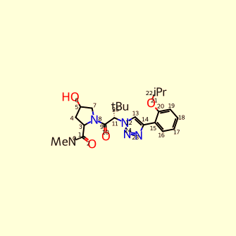 CNC(=O)C1CC(O)CN1C(=O)[C@@H](n1cc(-c2ccccc2OC(C)C)nn1)C(C)(C)C